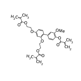 C=C(C)C(=O)OCCOc1ccc(-c2ccc(OC(=O)C(=C)C)c(OC)c2)c(OCCOC(=O)C(=C)C)c1